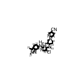 CCC1CN(c2ccc(C#N)cn2)CCC1N(C)c1nc(Nc2ccc3c(C)n(C)nc3c2)ncc1Cl